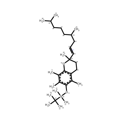 Cc1c(C)c2c(c(C)c1O[Si](C)(C)C(C)(C)C)CCC(C)(/C=C/CC(C)CCCC(C)C)O2